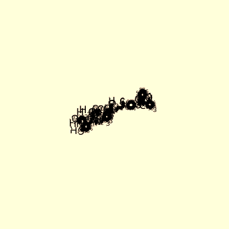 CN(CCCn1c(=O)oc2cc(CNC[C@@H](O[Si](C)(C)C(C)(C)C)c3ccc(O)c4[nH]c(=O)ccc34)ccc21)C1CCC(OC(=O)C2(C)c3ccccc3Oc3ccccc32)CC1